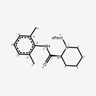 CCCCCN1CCCC[C@H]1C(=O)Nc1c(C)cccc1C